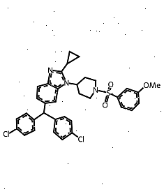 COc1cccc(S(=O)(=O)N2CCC(n3c(C4CC4)nc4ccc(C(c5ccc(Cl)cc5)c5ccc(Cl)cc5)cc43)CC2)c1